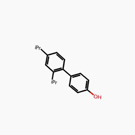 CC(C)c1ccc(-c2ccc(O)cc2)c(C(C)C)c1